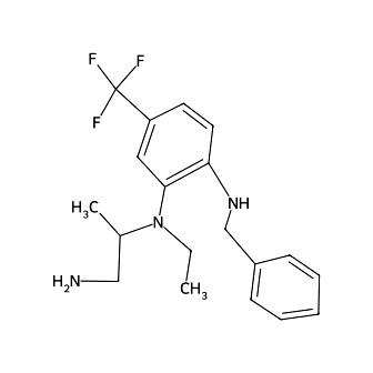 CCN(c1cc(C(F)(F)F)ccc1NCc1ccccc1)C(C)CN